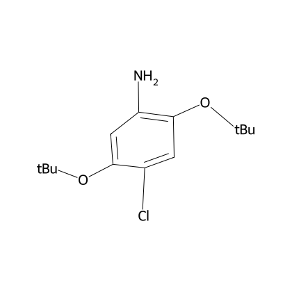 CC(C)(C)Oc1cc(Cl)c(OC(C)(C)C)cc1N